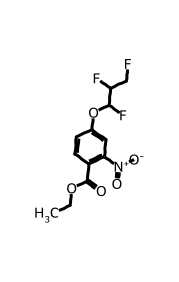 CCOC(=O)c1ccc(OC(F)C(F)CF)cc1[N+](=O)[O-]